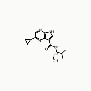 CC(C)[C@H](CO)NC(=O)c1c[nH]c2ncc(C3CC3)nc12